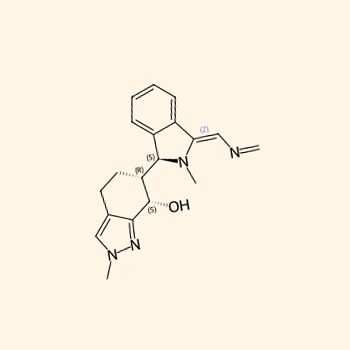 C=N/C=C1/c2ccccc2[C@H]([C@H]2CCc3cn(C)nc3[C@H]2O)N1C